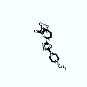 CN1CCN(c2nnc([C@@H]3CC[C@@H]4CN3C(=O)N4O)o2)CC1